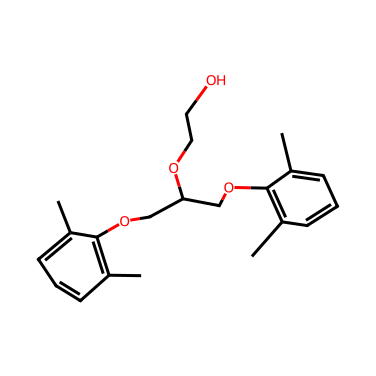 Cc1cccc(C)c1OCC(COc1c(C)cccc1C)OCCO